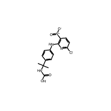 CC(C)(NC(=O)O)c1ccc(Nc2nc(Cl)ccc2[N+](=O)[O-])cc1